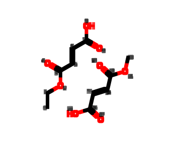 CCOC(=O)C=CC(=O)O.COC(=O)C=CC(=O)O